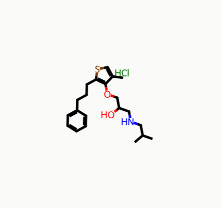 Cc1csc(CCCc2ccccc2)c1OCC(O)CNCC(C)C.Cl